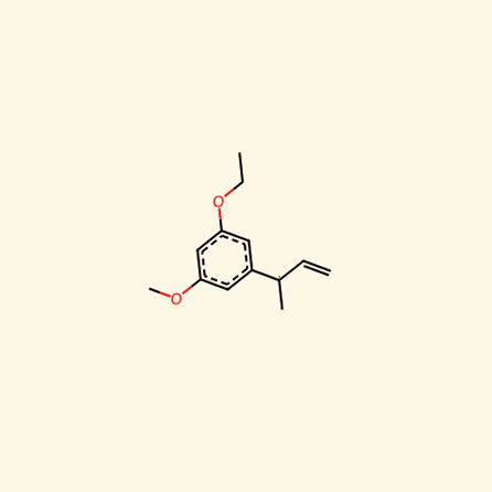 C=C[C](C)c1cc(OC)cc(OCC)c1